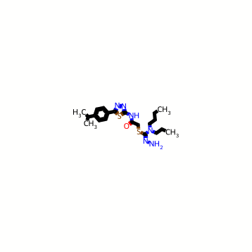 CCCCN(CCC)/C(=N\N)SCC(=O)Nc1nnc(-c2ccc(C(C)C)cc2)s1